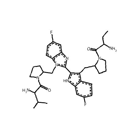 CCC(N)C(=O)N1CCCC1Cc1c(-c2nc3cc(F)ccc3n2CC2CCCN2C(=O)C(N)C(C)C)[nH]c2cc(F)ccc12